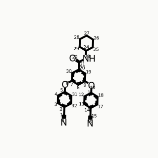 N#Cc1ccc(Oc2cc(Oc3ccc(C#N)cc3)cc(C(=O)NC3CCCCC3)c2)cc1